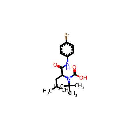 CC(C)CC(C(=O)Nc1ccc(Br)cc1)N(C(=O)O)C(C)(C)C